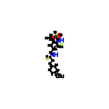 CC(C)(C)c1ccc(CCC(=S)NCc2cc(F)c(NS(C)(=O)=O)c(C3CC3)c2)cc1